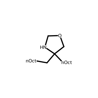 CCCCCCCCCC1(CCCCCCCC)COCN1